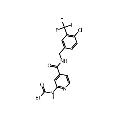 CCC(=O)Nc1cc(C(=O)NCc2ccc(Cl)c(C(F)(F)I)c2)ccn1